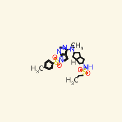 CCCS(=O)(=O)N[C@H]1CC2C[C@H](N(C)c3ncnc4c3ccn4S(=O)(=O)c3ccc(C)cc3)C[C@H]2C1